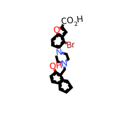 O=C(O)c1cc2c(Br)c(N3CCN(Cc4c(O)ccc5ccccc45)CC3)ccc2o1